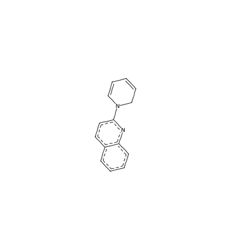 C1=CCN(c2ccc3ccccc3n2)C=C1